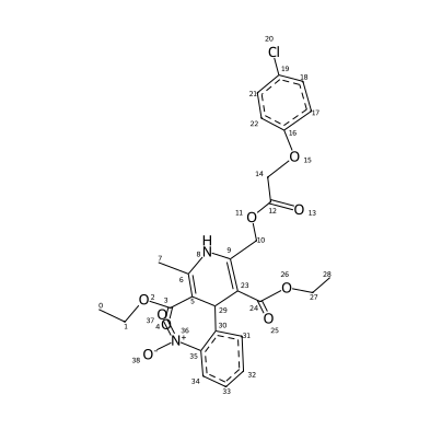 CCOC(=O)C1=C(C)NC(COC(=O)COc2ccc(Cl)cc2)=C(C(=O)OCC)C1c1ccccc1[N+](=O)[O-]